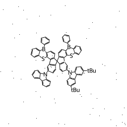 CC(C)(C)c1ccc2c(c1)c1cc(C(C)(C)C)ccc1n2-c1ccc2c(c1)-c1c(ccc3c1Sc1ccccc1B3c1ccccc1)C21c2ccc(-n3c4ccccc4c4ccccc43)cc2-c2c1ccc1c2Sc2ccccc2B1c1ccccc1